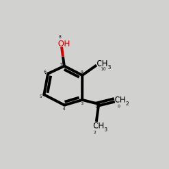 C=C(C)c1cc[c]c(O)c1C